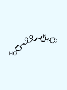 O=C(C=Cc1ccc(O)cc1)CC(=O)C=Cc1ccc(N2CCOCC2)nc1